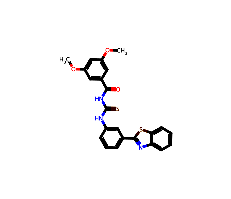 COc1cc(OC)cc(C(=O)NC(=S)Nc2cccc(-c3nc4ccccc4s3)c2)c1